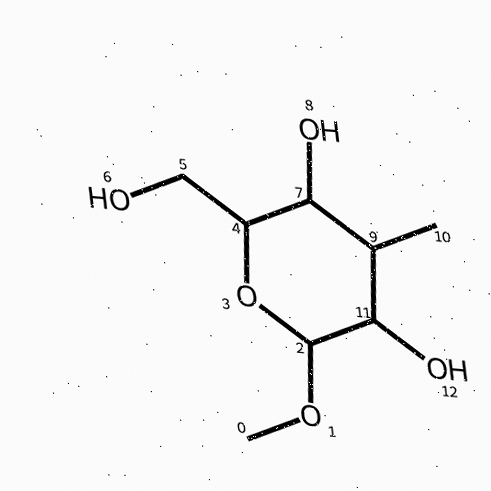 COC1OC(CO)C(O)C(C)C1O